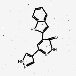 O=c1[nH]nc(-c2cn[nH]c2)cc1-c1cc2ccccc2[nH]1